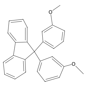 COc1cccc(C2(c3cccc(OC)c3)c3ccccc3-c3ccccc32)c1